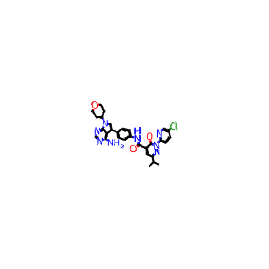 CC(C)c1cc(C(=O)Nc2ccc(-c3cn(C4CCOCC4)c4ncnc(N)c34)cc2)c(=O)n(-c2ccc(Cl)cn2)n1